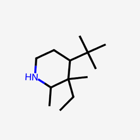 CCC1(C)C(C)NCCC1C(C)(C)C